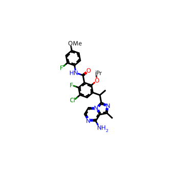 COc1ccc(NC(=O)c2c(F)c(Cl)cc(C(C)c3nc(C)c4c(N)nccn34)c2OC(C)C)c(F)c1